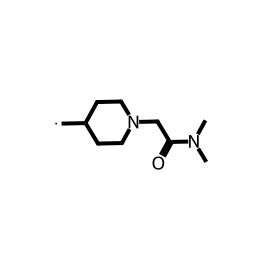 [CH2]C1CCN(CC(=O)N(C)C)CC1